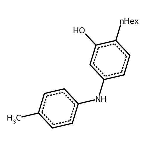 CCCCCCc1ccc(Nc2ccc(C)cc2)cc1O